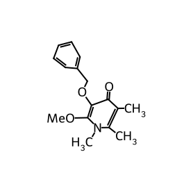 COc1c(OCc2ccccc2)c(=O)c(C)c(C)n1C